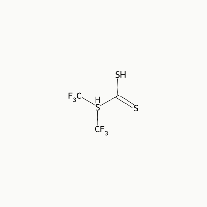 FC(F)(F)[SH](C(=S)S)C(F)(F)F